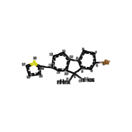 CCCCCCC1(CCCCCC)c2cc(Br)ccc2-c2ccc(-c3cccs3)cc21